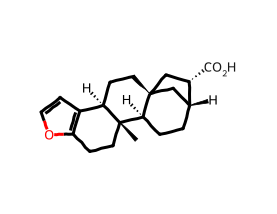 C[C@@]12CCc3occc3[C@H]1CC[C@@]13C[C@@H](CC[C@H]12)[C@@H](C(=O)O)C3